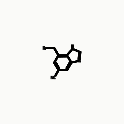 N#Cc1cc(CBr)c2[nH]cnc2c1